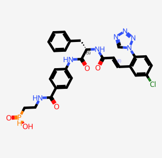 O=C(/C=C/c1cc(Cl)ccc1-n1cnnn1)N[C@@H](Cc1ccccc1)C(=O)Nc1ccc(C(=O)NCC[PH](=O)O)cc1